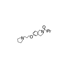 CC(C)C(=O)N1CCc2cc(OCCCN3CCCCC3)ccc2C1